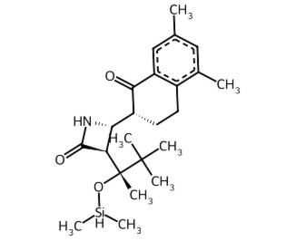 Cc1cc(C)c2c(c1)C(=O)[C@@H]([C@H]1NC(=O)[C@@H]1[C@@](C)(O[SiH](C)C)C(C)(C)C)CC2